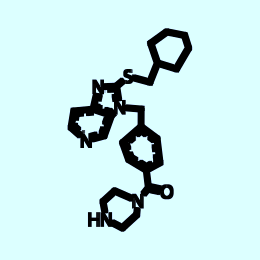 O=C(c1ccc(Cn2c(SCC3CCCCC3)nc3ccncc32)cc1)N1CCNCC1